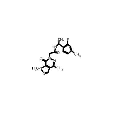 Cc1ccc(C(C)NC(=O)Cn2nc(C)c3cnn(C)c3c2=O)c(F)c1